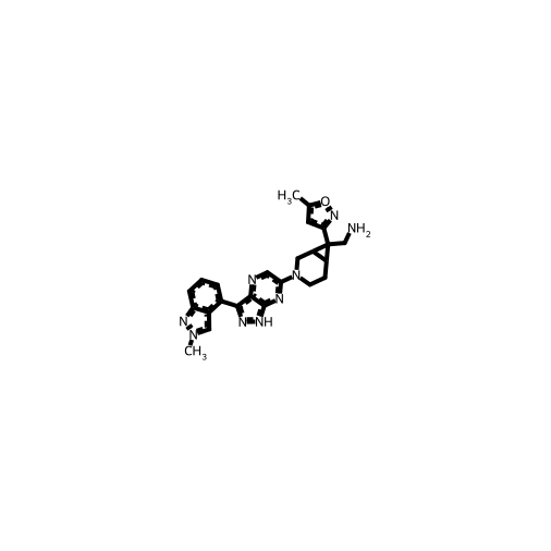 Cc1cc(C2(CN)C3CCN(c4cnc5c(-c6cccc7nn(C)cc67)n[nH]c5n4)CC32)no1